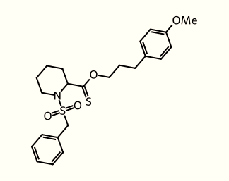 COc1ccc(CCCOC(=S)C2CCCCN2S(=O)(=O)Cc2ccccc2)cc1